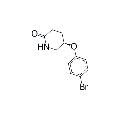 O=C1CC[C@@H](Oc2ccc(Br)cc2)CN1